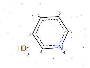 Br.c1ccncc1